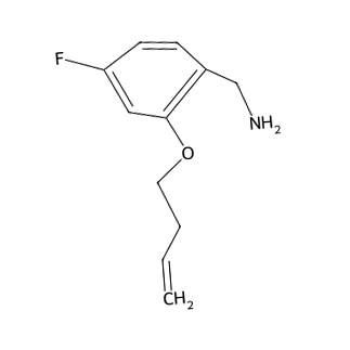 C=CCCOc1cc(F)ccc1CN